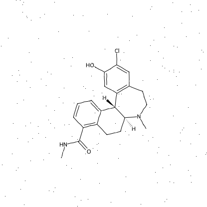 CNC(=O)c1cccc2c1CC[C@H]1[C@H]2c2cc(O)c(Cl)cc2CCN1C